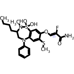 CCCCC1CN(c2ccccc2)c2cc(SC)c(O/C=C(\F)C(N)=O)cc2S(O)(O)N1C